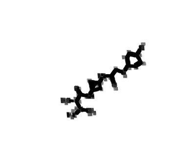 C[C@H](C(=O)NC12CC(NC(=O)COc3ccc(Cl)cc3)(C1)C2)N(C)C